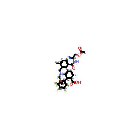 C#CCN(Cc1cc2c(=O)[nH]c(COC(C)=O)nc2cc1C)c1cccc(C(=O)O)c1-c1c(F)c(F)c(F)c(F)c1F